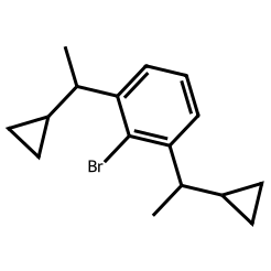 CC(c1cccc(C(C)C2CC2)c1Br)C1CC1